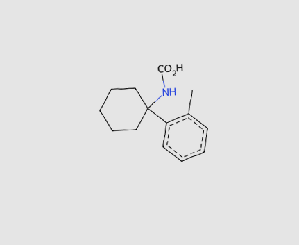 Cc1ccccc1C1(NC(=O)O)CCCCC1